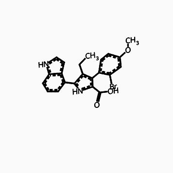 CCc1c(-c2cccc3[nH]ccc23)[nH]c(C(=O)O)c1-c1ccc(OC)cc1Br